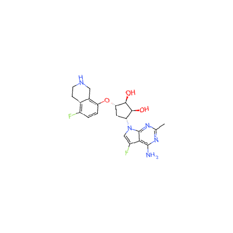 Cc1nc(N)c2c(F)cn([C@@H]3C[C@H](Oc4ccc(F)c5c4CNCC5)[C@@H](O)[C@H]3O)c2n1